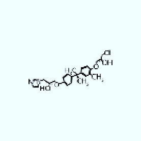 Cc1cc(C(C)(C)c2ccc(OC[C@H](O)Cn3ccnc3)cc2)ccc1OC[C@H](O)CCl